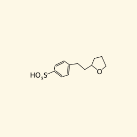 O=S(=O)(O)c1ccc(CCC2CCCO2)cc1